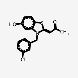 CC(=O)/C=C1\Sc2ccc(O)cc2N1Cc1cccc(Cl)c1